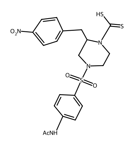 CC(=O)Nc1ccc(S(=O)(=O)N2CCN(C(=S)S)C(Cc3ccc([N+](=O)[O-])cc3)C2)cc1